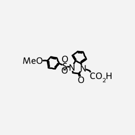 COc1ccc(S(=O)(=O)N2CC(=O)N(CC(=O)O)c3ccccc32)cc1